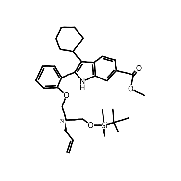 C=CC[C@@H](COc1ccccc1-c1[nH]c2cc(C(=O)OC)ccc2c1C1CCCCC1)CO[Si](C)(C)C(C)(C)C